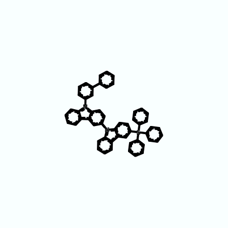 c1ccc(-c2cccc(-n3c4ccccc4c4cc(-n5c6ccccc6c6cc(S(c7ccccc7)(c7ccccc7)c7ccccc7)ccc65)ccc43)c2)cc1